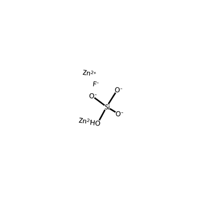 [F-].[O-][Si]([O-])([O-])O.[Zn+2].[Zn+2]